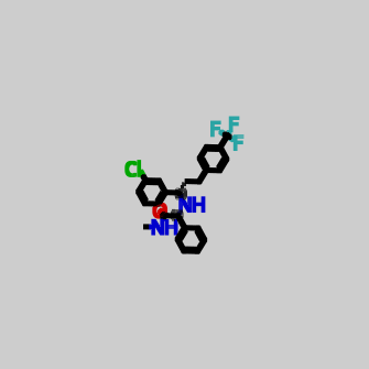 CNC(=O)[C@H](N[C@@H](CCc1ccc(C(F)(F)F)cc1)c1cccc(Cl)c1)c1ccccc1